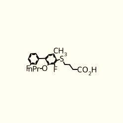 CCCOc1c(-c2cccc(F)c2)cc(C)c(SCCCC(=O)O)c1F